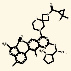 C[C@H](Oc1nc(N2CCOC3(CN(C(=O)C4CC4(F)F)C3)C2)c2cc(Cl)c(-c3ccc(F)c4sc(N)c(C#N)c34)c(F)c2n1)C1CCCN1C